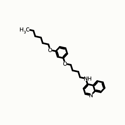 CCCCCCOc1cccc(OCCCCNc2ccnc3ccccc23)c1